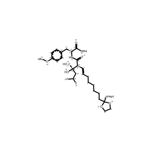 CCCCCCCC1(CCCCCCC=C[C@H](C(=O)N[C@@H](Cc2ccc(OCCCC)cc2)C(=O)NC)[C@@](O)(CC(F)F)C(=O)O)OCCO1